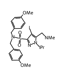 CNCc1c(I)c(S(=O)(=O)N(Cc2ccc(OC)cc2)Cc2ccc(OC)cc2)nn1C(C)C